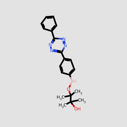 CC(C)(O)C(C)(C)OBc1ccc(-c2nnc(-c3ccccc3)nn2)cc1